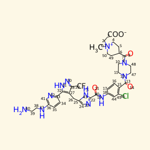 C[N+]1(CC(=O)[O-])CCC(C(=O)N2CCN(C(=O)c3ccc(NC(=O)c4ncc(Cc5c(C(F)(F)F)n[nH]c5-c5ccc(NCCN)cn5)[nH]4)cc3Cl)CC2)CC1